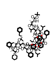 CC(C)C[C@@H](C(=O)N(C)[C@H](C(=O)N[C@@H](Cc1ccccc1)C(=O)N[C@@H](CC(=O)SCc1ccccc1)C(=O)N(C)[C@@H](Cc1ccccc1)C(=O)N[C@@H](C)C(=O)N1CCCCC1)C(C)C)N(C)C(=O)CNC(=O)[C@H](Cc1ccccc1)N(C)C(=O)[C@@H](NC(=O)[C@H](CC(C)C)N(C)C(=O)[C@@H](NC(=O)[C@H](C)NC(=O)OC(C)(C)C)C(C)C)[C@@H](C)OC(c1ccccc1)(c1ccccc1)c1ccccc1